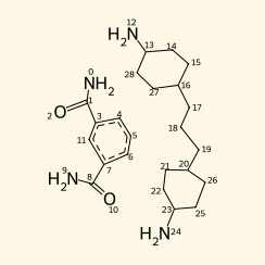 NC(=O)c1cccc(C(N)=O)c1.NC1CCC(CCCC2CCC(N)CC2)CC1